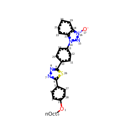 CCCCCCCCOc1ccc(-c2nnc(-c3ccc(-n4n[n+]([O-])c5ccccc54)cc3)s2)cc1